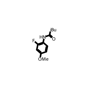 CCC(C)C(=O)Nc1ccc(OC)cc1F